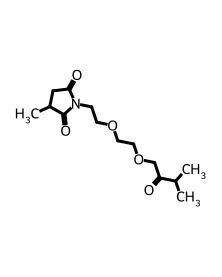 CC(C)C(=O)COCCOCCN1C(=O)CC(C)C1=O